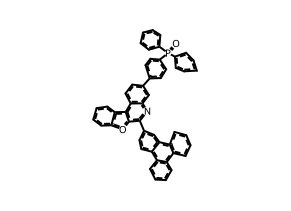 O=P(c1ccccc1)(c1ccccc1)c1ccc(-c2ccc3c(c2)nc(-c2ccc4c5ccccc5c5ccccc5c4c2)c2oc4ccccc4c23)cc1